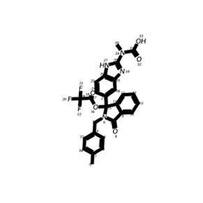 Cc1ccc(CN2C(=O)c3ccccc3C2(OC(=O)C(F)(F)F)c2ccc3[nH]c(N(C)C(=O)O)nc3c2)cc1